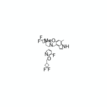 COc1cc(C)c2[nH]ccc2c1CN1CCC2(C[C@H]1c1cnc(OCC3CC(F)(F)C3)c(F)c1)CC(F)(F)C2